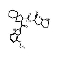 COc1cccc2[nH]c(C(=O)N3CC4(CCCCC4)C[C@@H]3C(=O)NC(C#N)CC3CCCNC3=O)cc12